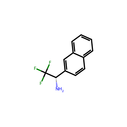 N[C@@H](c1ccc2ccccc2c1)C(F)(F)F